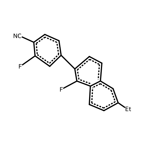 CCc1ccc2c(F)c(-c3ccc(C#N)c(F)c3)ccc2c1